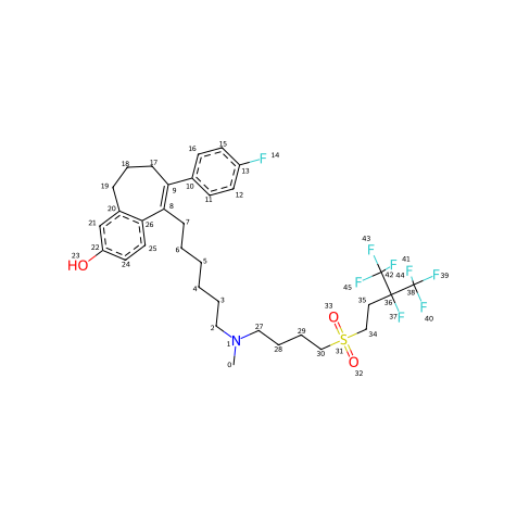 CN(CCCCCCC1=C(c2ccc(F)cc2)CCCc2cc(O)ccc21)CCCCS(=O)(=O)CCC(F)(C(F)(F)F)C(F)(F)F